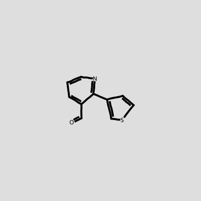 O=Cc1cccnc1-c1ccsc1